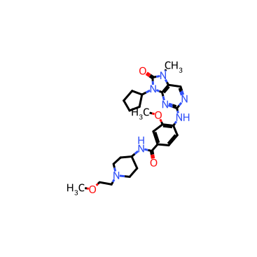 COCCN1CCC(NC(=O)c2ccc(Nc3ncc4c(n3)n(C3CCCC3)c(=O)n4C)c(OC)c2)CC1